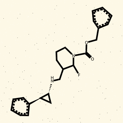 O=C(OCc1ccccc1)N1CCCC(CN[C@@H]2C[C@H]2c2ccccc2)C1F